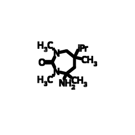 CC(C)C1(C)CN(C)C(=O)N(C)C(C)(N)C1